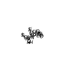 CCN(C(=O)[C@H](C)N1CCOCC1)c1cc2nc(-c3nn(COCC[Si](C)(C)C)c4c3C[C@@H]3C[C@]3(C)C4)n(COCC[Si](C)(C)C)c2c(F)c1F